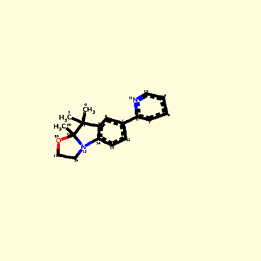 CC1(C)c2cc(-c3ccccn3)ccc2N2CCOC21C